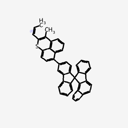 C/C=C\C1=C(C)c2cccc3c(-c4ccc5c(c4)-c4ccccc4C54c5ccccc5-c5ccc6ccccc6c54)ccc(c23)S1